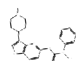 CCC(C)N1CCC(c2c[nH]c3ccc(NC(=O)N(c4ccccc4)C(C)C)nc23)CC1